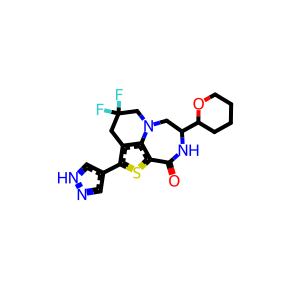 O=C1NC(C2CCCCO2)CN2CC(F)(F)Cc3c(-c4cn[nH]c4)sc1c32